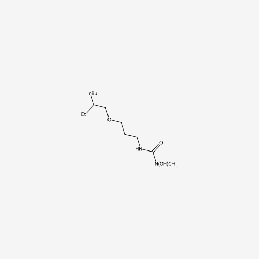 CCCCC(CC)COCCCNC(=O)N(C)O